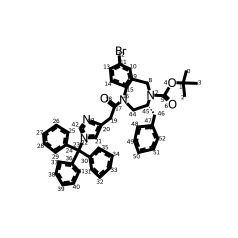 CC(C)(C)OC(=O)N1Cc2cc(Br)ccc2N(C(=O)Cc2cn(C(c3ccccc3)(c3ccccc3)c3ccccc3)cn2)C[C@H]1Cc1ccccc1